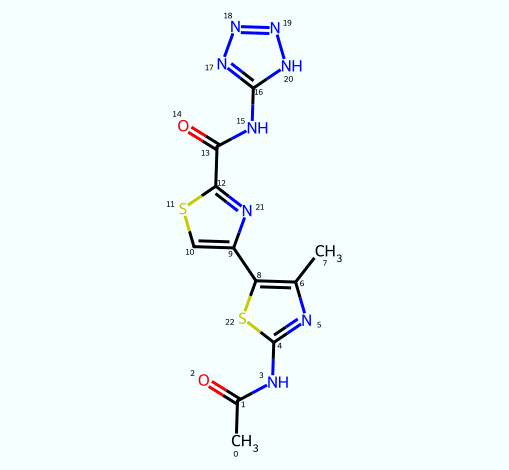 CC(=O)Nc1nc(C)c(-c2csc(C(=O)Nc3nnn[nH]3)n2)s1